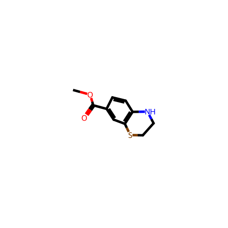 COC(=O)c1ccc2c(c1)SCCN2